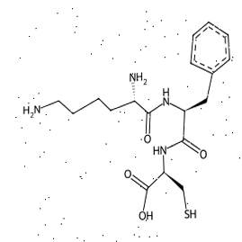 NCCCC[C@H](N)C(=O)N[C@@H](Cc1ccccc1)C(=O)N[C@@H](CS)C(=O)O